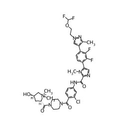 Cc1nn(CCOC(F)F)cc1-c1ccc(-c2cnc(C(=O)Nc3ccc(C(=O)N4CCN(C(=O)[C@@H]5C[C@@H](O)C[N+]5(C)C)CC4)c(Cl)c3)n2C)c(F)c1F